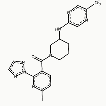 Cc1ccc(C(=O)N2CCCC(Nc3cnc(C(F)(F)F)cn3)C2)c(-n2nccn2)n1